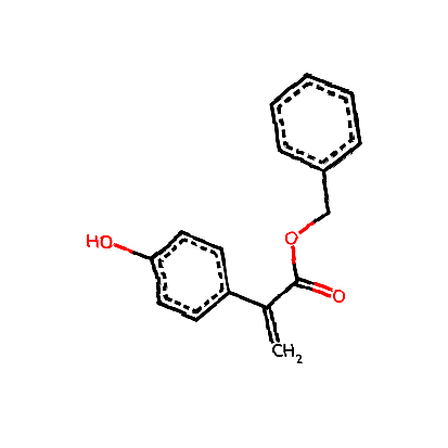 C=C(C(=O)OCc1ccccc1)c1ccc(O)cc1